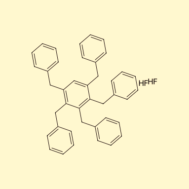 F.F.c1ccc(Cc2cc(Cc3ccccc3)c(Cc3ccccc3)c(Cc3ccccc3)c2Cc2ccccc2)cc1